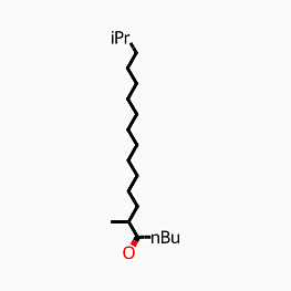 CCCCC(=O)C(C)CCCCCCCCCCCC(C)C